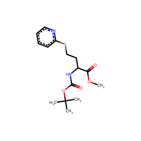 COC(=O)C(CCSc1ccccn1)NC(=O)OC(C)(C)C